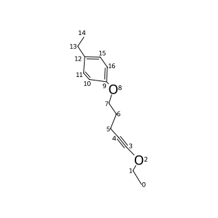 CCOC#CCCCOc1ccc(CC)cc1